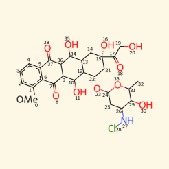 COc1cccc2c1C(=O)C1C(O)C3C(C[C@@](O)(C(=O)CO)C[C@@H]3OC3CC(NCl)C(O)C(C)O3)C(O)C1C2=O